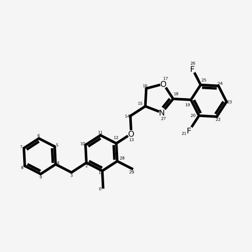 Cc1c(Cc2ccccc2)ccc(OCC2COC(c3c(F)cccc3F)=N2)c1C